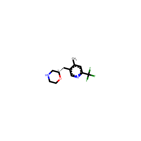 Cc1cc(C(F)(F)F)ncc1C[C@H]1CNCCO1